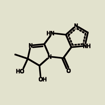 CC1(O)N=C2Nc3nc[nH]c3C(=O)N2C1O